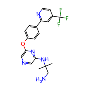 CC(C)(CN)Nc1cncc(Oc2ccc(-c3cc(C(F)(F)F)ccn3)cc2)n1